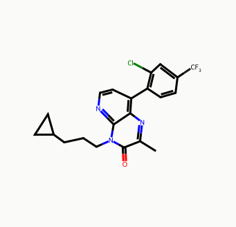 Cc1nc2c(-c3ccc(C(F)(F)F)cc3Cl)ccnc2n(CCCC2CC2)c1=O